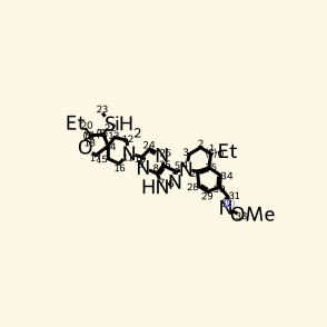 CC[C@H]1CCN(c2n[nH]c3nc(N4CCC5(CC4)CO[C@@H](CC)[C@H]5[SiH2]C)cnc23)c2ccc(/C=N/OC)cc21